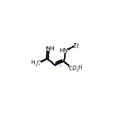 CCN/C(=C\C(C)=N)C(=O)O